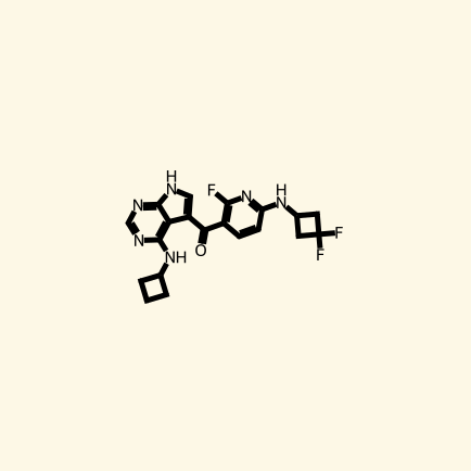 O=C(c1ccc(NC2CC(F)(F)C2)nc1F)c1c[nH]c2ncnc(NC3CCC3)c12